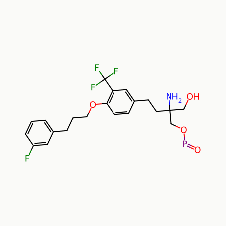 NC(CO)(CCc1ccc(OCCCc2cccc(F)c2)c(C(F)(F)F)c1)COP=O